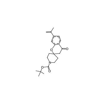 C=C(C)c1ccc2c(c1)OC1(CCN(C(=O)OC(C)(C)C)CC1)CC2=O